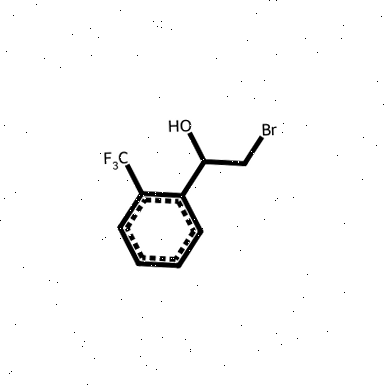 OC(CBr)c1ccccc1C(F)(F)F